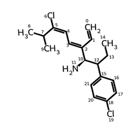 C=C/C(=C\C=C(\Cl)C(C)C)[C@H](N)C(CC)c1ccc(Cl)cc1